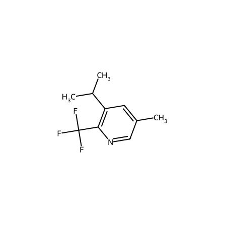 Cc1cnc(C(F)(F)F)c(C(C)C)c1